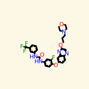 O=C(Nc1cccc(C(F)(F)F)c1)Nc1ccc(Oc2ccc3ncc(OCCCN4CCOCC4)nc3c2)c(F)c1